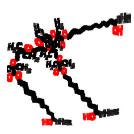 CCCCCCC(O)CCCCCCCCCCOC(=O)C(C)(C)OCCC(C)(C)OCC(COC(C)(C)CCOC(C)(C)C(=O)OCCCCCCCCCCC(O)CCCCCC)OC(C)(C)CCOC(C)(C)C(=O)OCCCCCCCCCCC(O)CCCCCC